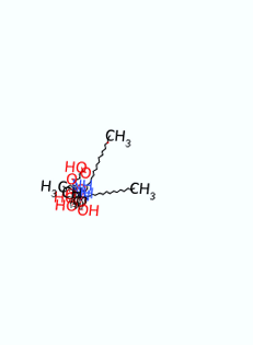 CCCCCCCCCCCCCCCCCC(=O)N(CCCCCCCCCCCCCC)[C@@H]1O[C@H](CO)[C@@H](O)[C@H](O)[C@H]1NC(=O)[C@H](CC(C)C)NC(=O)CCC(=O)O